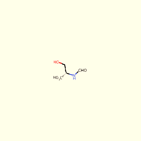 O=CN[C@@H](CO)C(=O)O